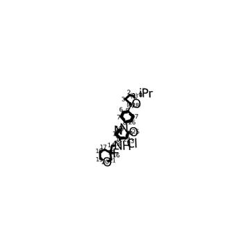 CC(C)[C@H]1CC[C@H](c2ccc(-n3ncc(NCC4(F)CCCOC4)c(Cl)c3=O)cc2)O1